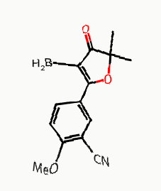 BC1=C(c2ccc(OC)c(C#N)c2)OC(C)(C)C1=O